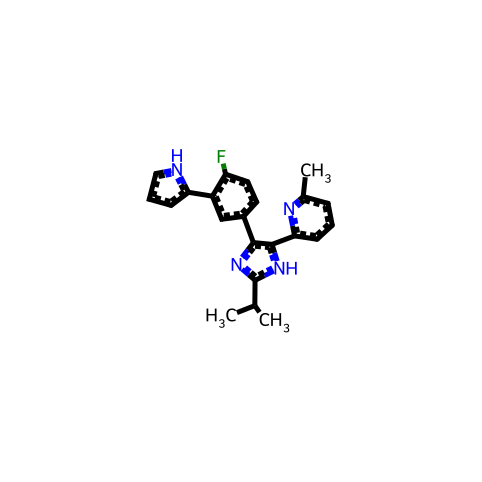 Cc1cccc(-c2[nH]c(C(C)C)nc2-c2ccc(F)c(-c3ccc[nH]3)c2)n1